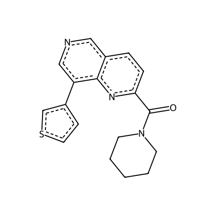 O=C(c1ccc2cncc(-c3ccsc3)c2n1)N1CCCCC1